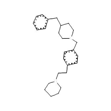 c1ccc(CC2CCN(Cc3ccc(CCN4CCCCC4)cc3)CC2)cc1